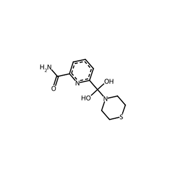 NC(=O)c1cccc(C(O)(O)N2CCSCC2)n1